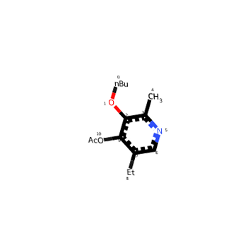 CCCCOc1c(C)ncc(CC)c1OC(C)=O